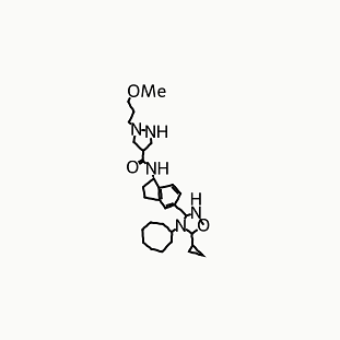 COCCCN1CC(C(=O)N[C@@H]2CCc3cc(C4NOC(C5CC5)N4C4CCCCCCC4)ccc32)CN1